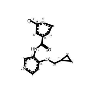 O=C(Nc1cnccc1OCC1CC1)c1ccnc(Cl)c1